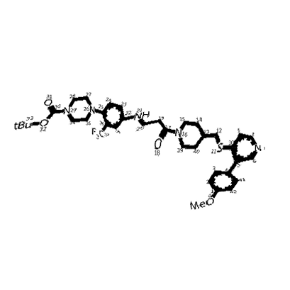 COc1ccc(-c2cnccc2SCC2CCN(C(=O)CCNc3ccc(N4CCN(C(=O)OC(C)(C)C)CC4)c(C(F)(F)F)c3)CC2)cc1